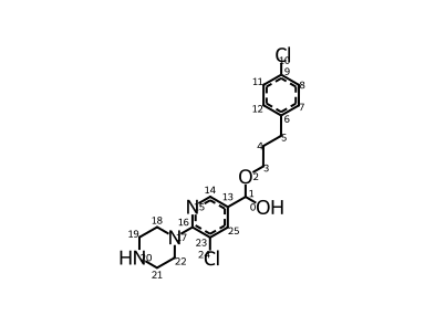 OC(OCCCc1ccc(Cl)cc1)c1cnc(N2CCNCC2)c(Cl)c1